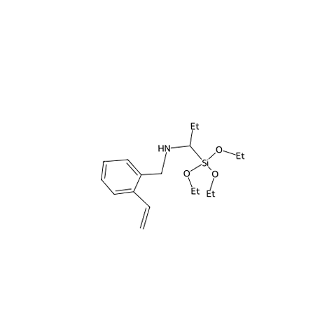 C=Cc1ccccc1CNC(CC)[Si](OCC)(OCC)OCC